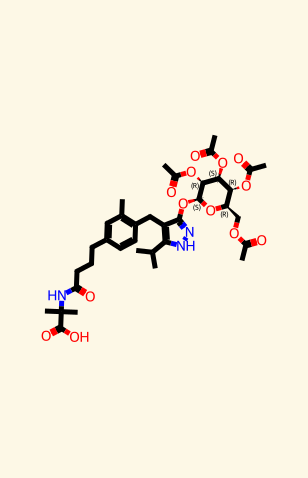 CC(=O)OC[C@H]1O[C@@H](Oc2n[nH]c(C(C)C)c2Cc2ccc(CCCC(=O)NC(C)(C)C(=O)O)cc2C)[C@H](OC(C)=O)[C@@H](OC(C)=O)[C@@H]1OC(C)=O